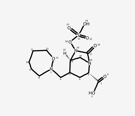 O=C(O)[C@@H]1CC(CN2CCCCCO2)[C@@H]2CN1C(=O)N2OS(=O)(=O)O